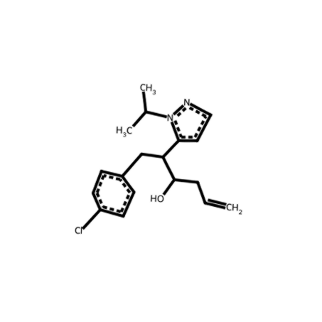 C=CCC(O)C(Cc1ccc(Cl)cc1)c1ccnn1C(C)C